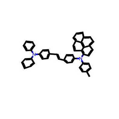 Cc1ccc(N(c2ccc(C=Cc3ccc(N(c4ccccc4)c4ccccc4)cc3)cc2)c2ccc3ccc4cccc5ccc2c3c45)cc1